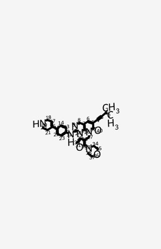 CC(C)C#Cc1cc2cnc(Nc3ccc(C4=CCNCC4)cc3)nc2n(Cc2ccoc2N2CCOCC2)c1=O